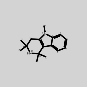 Cn1c2c(c3ccccc31)C(C)(C)NC(C)(C)C2